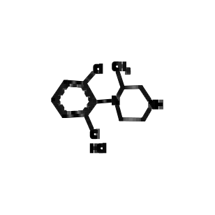 CC1CNCCN1c1c(Cl)cccc1Cl.Cl